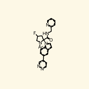 CC(=O)N1CC(F)CC1(C(=O)NCc1ccccn1)n1ccc2cc(-c3ccnnc3)ccc21